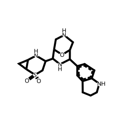 O=S1(=O)CC(C2NC(c3ccc4c(c3)CCCN4)C3CNCC2O3)NC2CC21